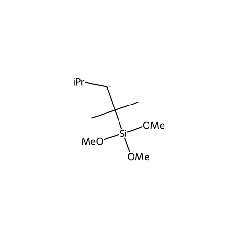 CO[Si](OC)(OC)C(C)(C)[CH]C(C)C